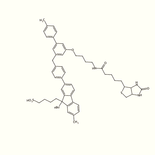 CCCCC1(CCCCS(=O)(=O)O)c2cc(C)ccc2-c2ccc(-c3ccc(Cc4cc(OCCCCNC(=O)CCCCC5SCC6NC(=O)NC65)cc(-c5ccc(C)cc5)c4)cc3)cc21